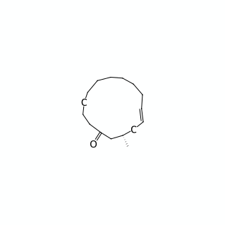 C[C@H]1C/C=C\CCCCCCCCCC(=O)C1